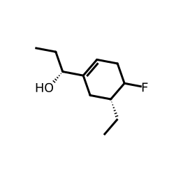 CC[C@@H]1CC([C@H](O)CC)=CCC1F